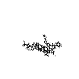 C=C(C)[C@@H]1CC[C@]2(C(=O)N3C[C@H](OCCOC)C[C@H]3c3nc(-c4ccccc4)cn3CCN(C)C)CC[C@]3(C)[C@H](CC[C@@H]4[C@@]5(C)CC[C@H](OC(=O)[C@H]6C[C@@H](C(C)=O)C6(C)C)C(C)(C)[C@@H]5CC[C@]43C)[C@@H]12